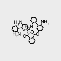 Nc1ccccc1-c1cc(OC(=O)c2ccccc2C(=O)Oc2ccc(N)c(-c3ccccc3N)c2)ccc1N